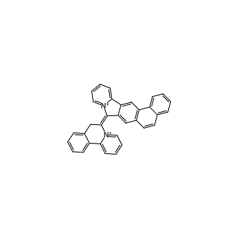 c1ccc2c(c1)C/C(=C1/c3cc4ccc5ccccc5c4cc3-c3cccc[n+]31)[n+]1ccccc1-2